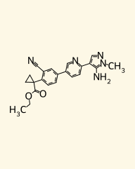 CCOC(=O)C1(c2ccc(-c3ccc(-c4cnn(C)c4N)nc3)cc2C#N)CC1